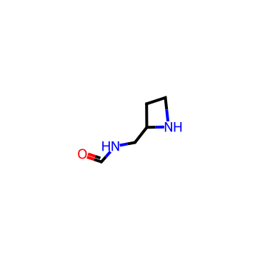 O=CNCC1CCN1